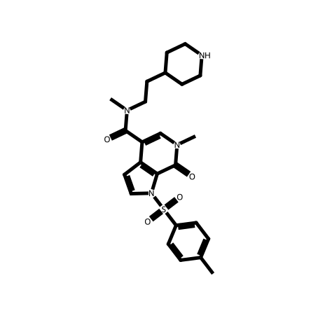 Cc1ccc(S(=O)(=O)n2ccc3c(C(=O)N(C)CCC4CCNCC4)cn(C)c(=O)c32)cc1